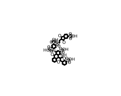 O=C(c1cccc(S(=O)(=O)O)c1)c1c2c3c(c(Nc4cc(S(=O)(=O)CCC5C(=O)c6ccc(S(=O)(=O)O)cc6C5=O)c(S(=O)(=O)O)cc4S(=O)(=O)O)cc(S(=O)(=O)O)c3[nH]c1=O)C(=O)c1ccccc1-2